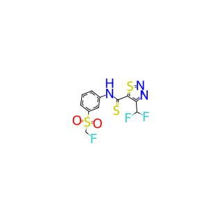 O=S(=O)(CF)c1cccc(NC(=S)c2snnc2C(F)F)c1